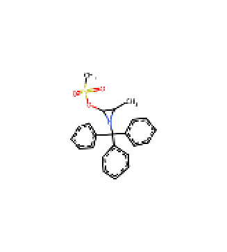 CC1C(OS(C)(=O)=O)N1C(c1ccccc1)(c1ccccc1)c1ccccc1